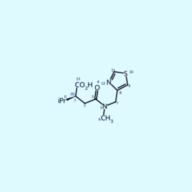 CC(C)[C@H](CC(=O)N(C)Cc1cscn1)C(=O)O